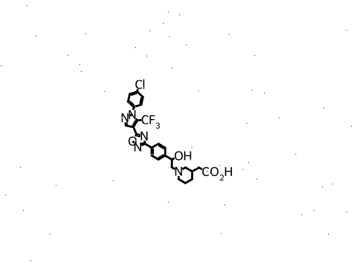 O=C(O)CC1CCCN(CC(O)c2ccc(-c3noc(-c4cnn(-c5ccc(Cl)cc5)c4C(F)(F)F)n3)cc2)C1